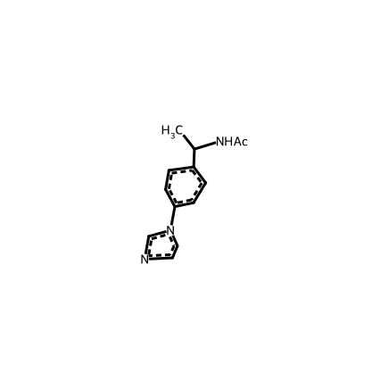 CC(=O)NC(C)c1ccc(-n2ccnc2)cc1